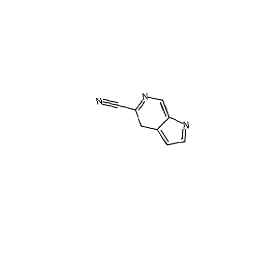 N#CC1=NC=C2N=CC=C2C1